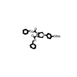 COc1ccc(N2CC3CC(C2)N(C(=O)OCc2ccccc2)N3C(=O)OCc2ccccc2)cc1